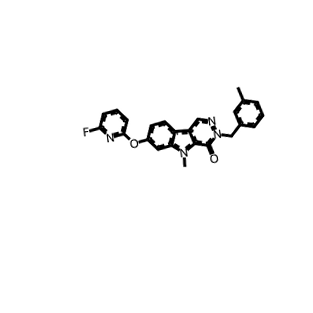 Cc1cccc(Cn2ncc3c4ccc(Oc5cccc(F)n5)cc4n(C)c3c2=O)c1